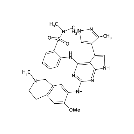 COc1cc2c(cc1Nc1nc(Nc3ccccc3S(=O)(=O)N(C)C)c3c(-c4c[nH]nc4C)c[nH]c3n1)CN(C)CC2